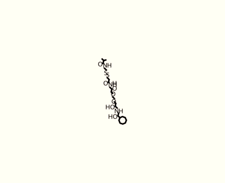 CC(C)C(=O)NCCSSCCC(=O)NCC(O)COCCOCC(O)CNCC(O)C1CCCCCCC1